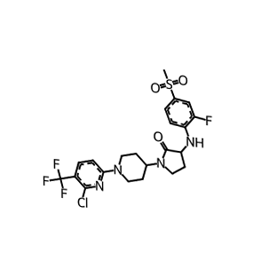 CS(=O)(=O)c1ccc(NC2CCN(C3CCN(c4ccc(C(F)(F)F)c(Cl)n4)CC3)C2=O)c(F)c1